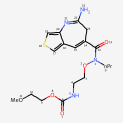 CCCN(OCCNC(=O)OCCOC)C(=O)C1=Cc2cscc2N=C(N)C1